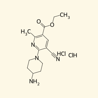 CCOC(=O)c1cc(C#N)c(N2CCC(N)CC2)nc1C.Cl.Cl